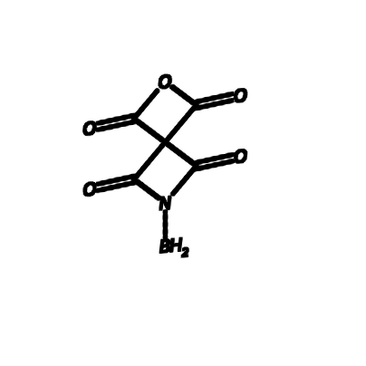 BN1C(=O)C2(C(=O)OC2=O)C1=O